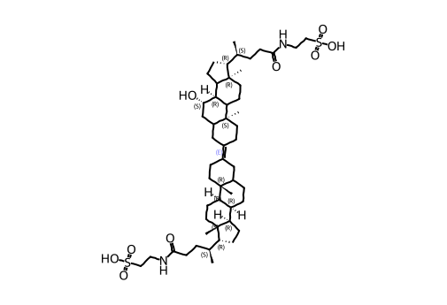 C[C@@H](CCC(=O)NCCS(=O)(=O)O)[C@H]1CC[C@@H]2[C@@H]3CCC4C/C(=C5\CC[C@@]6(C)C(C5)C[C@H](O)[C@@H]5C6CC[C@@]6(C)C5CC[C@@H]6[C@@H](C)CCC(=O)NCCS(=O)(=O)O)CC[C@@]4(C)[C@@H]3CC[C@]21C